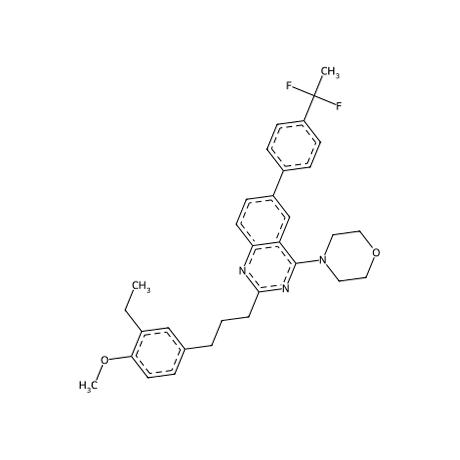 CCc1cc(CCCc2nc(N3CCOCC3)c3cc(-c4ccc(C(C)(F)F)cc4)ccc3n2)ccc1OC